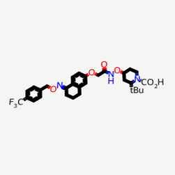 CC(C)(C)C1CC(ONC(=O)COc2ccc3c(c2)CCCC3=NOCc2ccc(C(F)(F)F)cc2)CCN1C(=O)O